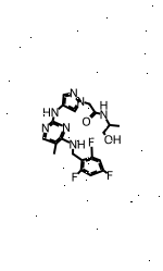 Cc1cnc(Nc2cnn(CC(=O)NC(C)CO)c2)nc1NCc1c(F)cc(F)cc1F